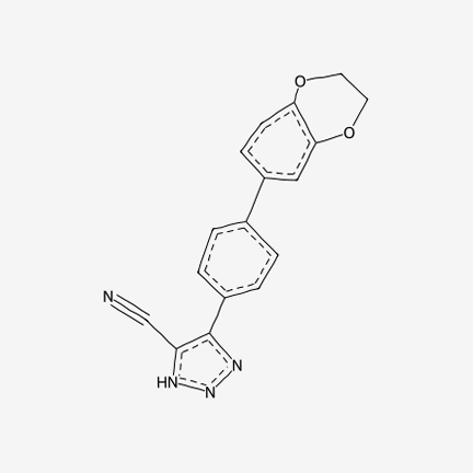 N#Cc1[nH]nnc1-c1ccc(-c2ccc3c(c2)OCCO3)cc1